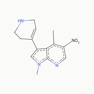 Cc1c([N+](=O)[O-])cnc2c1c(C1=CCNCC1)cn2C